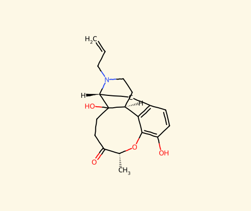 C=CCN1CC[C@H]2c3c4ccc(O)c3O[C@H](C)C(=O)CCC2(O)[C@H]1C4